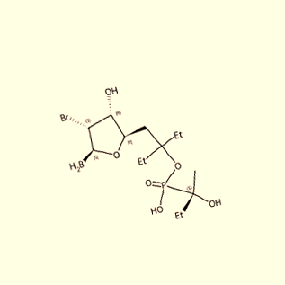 B[C@@H]1O[C@H](CC(CC)(CC)OP(=O)(O)[C@](C)(O)CC)[C@@H](O)[C@H]1Br